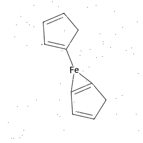 [C]1=[C]([Fe]2[C]3=[C]2CC=C3)CC=C1